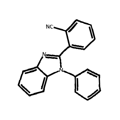 N#Cc1ccccc1-c1nc2ccccc2n1-c1ccccc1